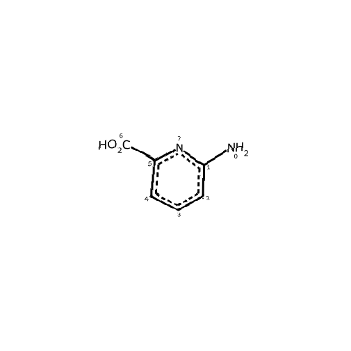 Nc1[c]ccc(C(=O)O)n1